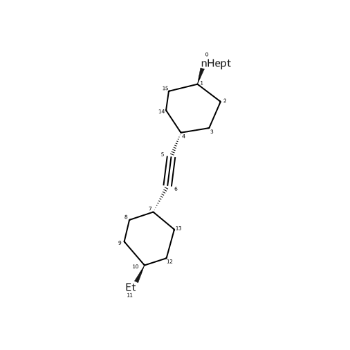 CCCCCCC[C@H]1CC[C@H](C#C[C@H]2CC[C@H](CC)CC2)CC1